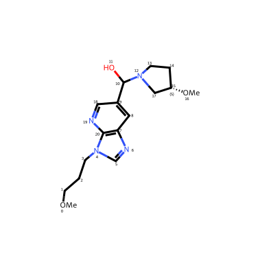 COCCCn1cnc2cc(C(O)N3CC[C@H](OC)C3)cnc21